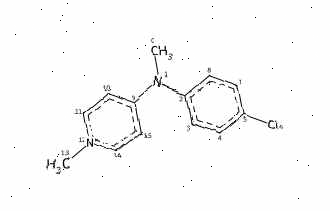 CN(c1ccc(Cl)cc1)c1cc[n+](C)cc1